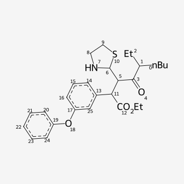 CCCCC(CC)C(=O)C(C1NCCS1)C(C(=O)OCC)c1cccc(Oc2ccccc2)c1